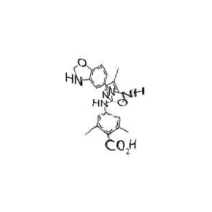 CC1=C2NOC(Nc3cc(C)c(C(=O)O)c(C)c3)(N=C1)N2c1ccc2c(c1)NCO2